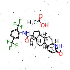 CC(=O)O.C[C@]12C=CC(=O)N[C@@H]1CC[C@@H]1[C@@H]2CC[C@]2(C)[C@@H](C(=O)Nc3cc(C(F)(F)F)ccc3C(F)(F)F)CC[C@@H]12